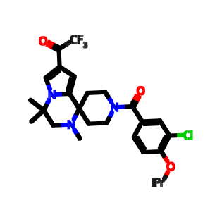 CC(C)Oc1ccc(C(=O)N2CCC3(CC2)c2cc(C(=O)C(F)(F)F)cn2C(C)(C)CN3C)cc1Cl